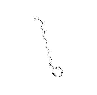 CCCCCCCCCCSc1ccccc1